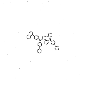 c1ccc(-c2ccc(N(c3ccc(-c4ccccc4-n4c5ccccc5c5cc(-c6ccccc6)ccc54)cc3)c3ccc(-c4cccc5ccccc45)cc3)cc2)cc1